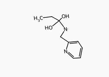 CCC(O)(O)[N]Cc1ccccn1